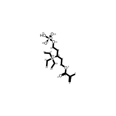 C=C(C)C(=O)OCCC(CCOP(=O)([O-])O)[N+](CC)(CC)CC